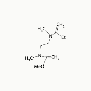 C=C(CC)N(C)CCN(C)C(=C)OC